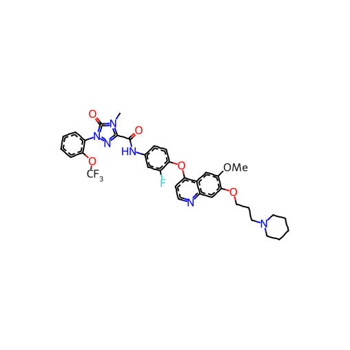 COc1cc2c(Oc3ccc(NC(=O)c4nn(-c5ccccc5OC(F)(F)F)c(=O)n4C)cc3F)ccnc2cc1OCCCN1CCCCC1